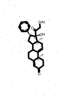 CC(=O)OCC(=O)[C@@]1(O)[C@H](c2ccccc2)CC2C3CCC4=CC(=O)CC[C@]4(C)C3=CC[C@@]21C